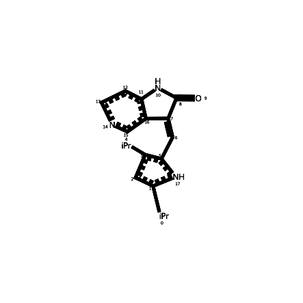 CC(C)c1cc(C(C)C)c(C=C2C(=O)Nc3ccncc32)[nH]1